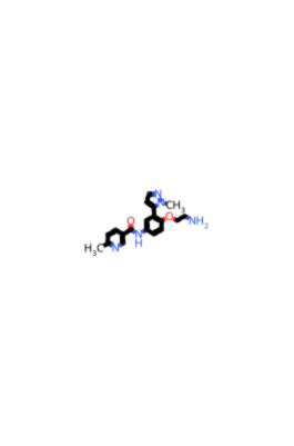 Cc1ccc(C(=O)Nc2ccc(OCCN)c(-c3ccnn3C)c2)cn1